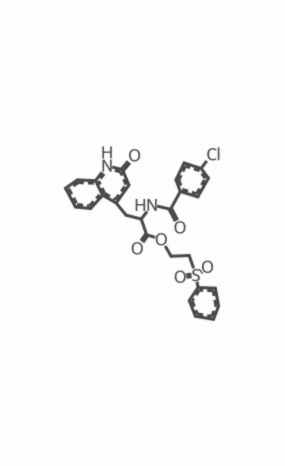 O=C(NC(Cc1cc(=O)[nH]c2ccccc12)C(=O)OCCS(=O)(=O)c1ccccc1)c1ccc(Cl)cc1